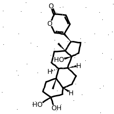 C[C@]12CCC(O)(O)C[C@H]1CC[C@@H]1[C@@H]2CC[C@]2(C)[C@@H](c3ccc(=O)oc3)CC[C@]12O